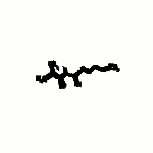 CCCCSC(=N)NC(=O)N(C)C